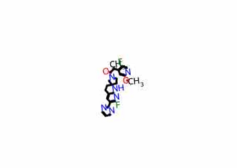 COc1cc([C@@H](C)C(=O)N2CCC3(CCc4cc(-c5ncccn5)c(F)nc4N3)C2)c(F)cn1